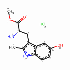 COC(=O)[C@@H](N)Cc1c(C)[nH]c2ccc(O)cc12.Cl